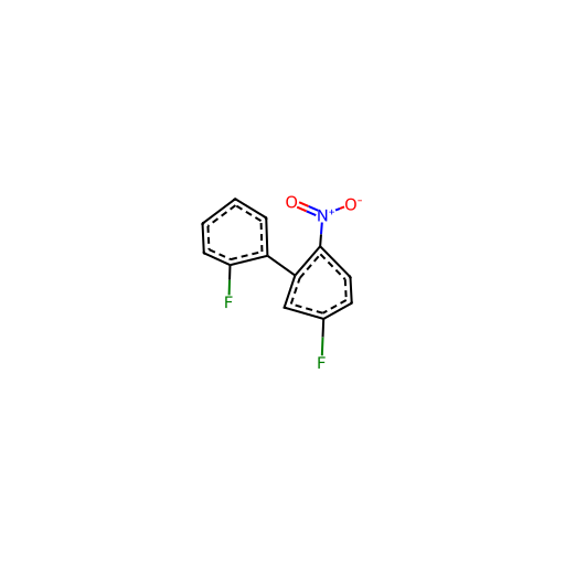 O=[N+]([O-])c1ccc(F)cc1-c1ccccc1F